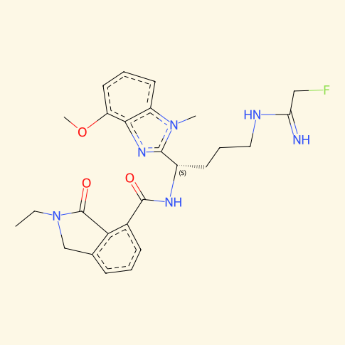 CCN1Cc2cccc(C(=O)N[C@@H](CCCNC(=N)CF)c3nc4c(OC)cccc4n3C)c2C1=O